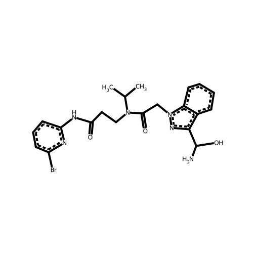 CC(C)N(CCC(=O)Nc1cccc(Br)n1)C(=O)Cn1nc(C(N)O)c2ccccc21